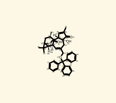 CCO[C@@]12C[C@@H](C)[C@@]3(O)[C@@H](C=C(COC(c4ccccc4)(c4ccccc4)c4ccccc4)C[C@]4(O)C(=O)C(C)=C[C@@H]34)[C@@H]1C2(C)C